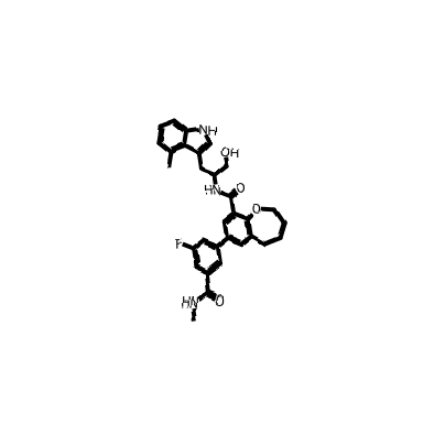 CNC(=O)c1cc(F)cc(-c2cc3c(c(C(=O)NC(CO)Cc4c[nH]c5cccc(C)c45)c2)OCCCC3)c1